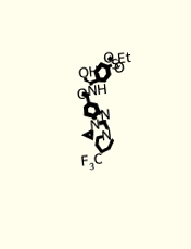 CCS(=O)(=O)c1ccc([C@H](CO)NC(=O)c2ccc3c(c2)nc(CN2CCC(C(F)(F)F)CC2)n3C2CC2)cc1